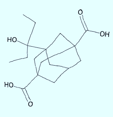 CCC(O)(CC)C12CC3CC(C(=O)O)(CC(C(=O)O)(C3)C1)C2